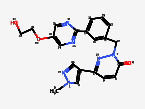 Cn1cc(-c2ccc(=O)n(Cc3cccc(-c4ncc(OCCO)cn4)c3)n2)cn1